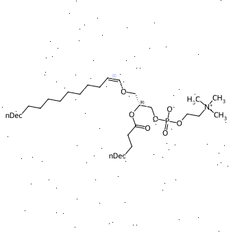 CCCCCCCCCCCCCCCCCC/C=C\OC[C@H](COP(=O)([O-])OCC[N+](C)(C)C)OC(=O)CCCCCCCCCCCC